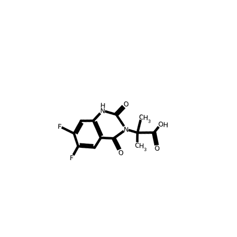 CC(C)(C(=O)O)n1c(=O)[nH]c2cc(F)c(F)cc2c1=O